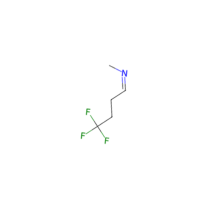 C/N=C\CCC(F)(F)F